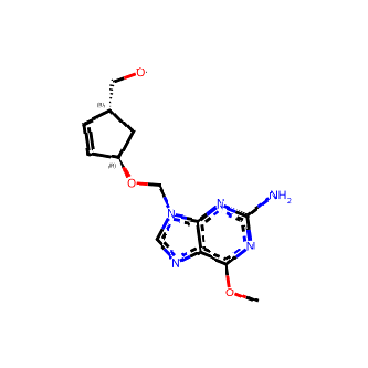 COc1nc(N)nc2c1ncn2CO[C@H]1C=C[C@H](C[O])C1